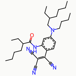 CCCCC(CC)CN(CCCC)c1ccc(C(C#N)=C(C#N)C#N)c(NC(=O)C(CC)CCCC)c1